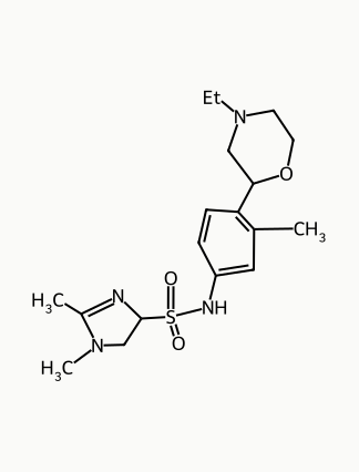 CCN1CCOC(c2ccc(NS(=O)(=O)C3CN(C)C(C)=N3)cc2C)C1